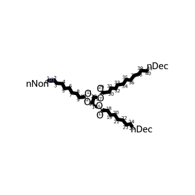 CCCCCCCCC/C=C\CCCCCCCC(=O)O[C@H](COC(=O)CCCCCCCCCCCCCCCCC)COC(=O)CCCCCCCCCCCCCCCCCCCCC